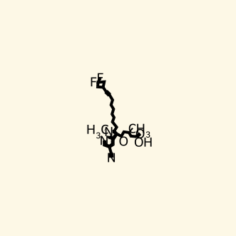 C[C@@H](CC(=O)O)CC(=O)c1c(CCCCCCCC#CC2CC(F)(F)C2)n(C)c2ncc(C#N)cc12